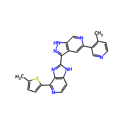 Cc1ccc(-c2nccc3[nH]c(-c4n[nH]c5cnc(-c6cnccc6C)cc45)nc23)s1